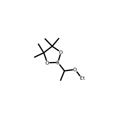 CCOC(C)B1OC(C)(C)C(C)(C)O1